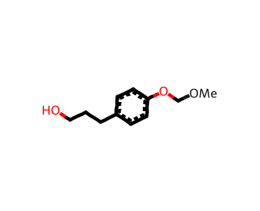 COCOc1ccc(CCCO)cc1